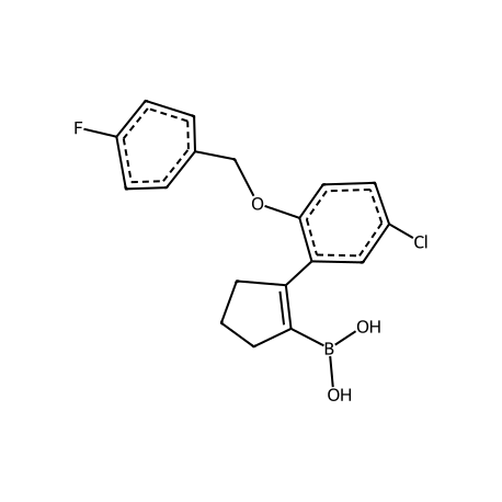 OB(O)C1=C(c2cc(Cl)ccc2OCc2ccc(F)cc2)CCC1